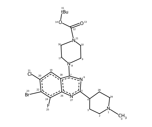 CN1CCC(c2nc(N3CCN(C(=O)OC(C)(C)C)CC3)c3cc(Cl)c(Br)c(F)c3n2)CC1